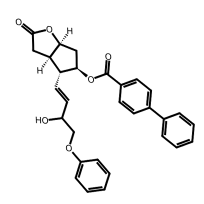 O=C1C[C@@H]2[C@@H](/C=C/C(O)COc3ccccc3)[C@H](OC(=O)c3ccc(-c4ccccc4)cc3)C[C@@H]2O1